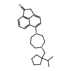 CC(C)C1(CN2CCCN(c3ccc4c5c(cccc35)C(=O)C4)CC2)CCCC1